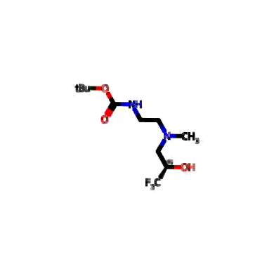 CN(CCNC(=O)OC(C)(C)C)C[C@@H](O)C(F)(F)F